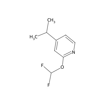 CC(C)c1ccnc(OC(F)F)c1